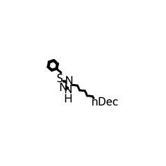 CCCCCCCCCCCCCCCc1nc(SCc2ccccc2)n[nH]1